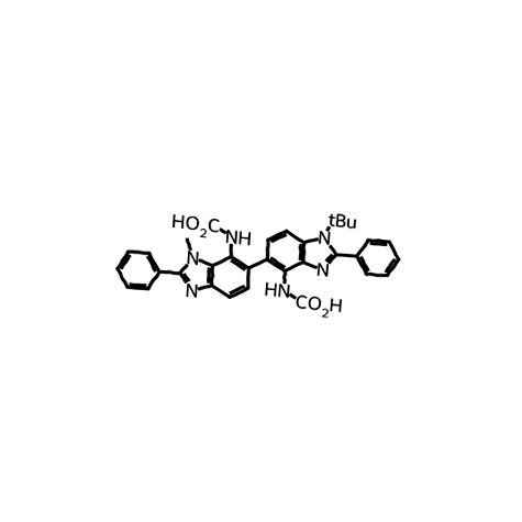 Cn1c(-c2ccccc2)nc2ccc(-c3ccc4c(nc(-c5ccccc5)n4C(C)(C)C)c3NC(=O)O)c(NC(=O)O)c21